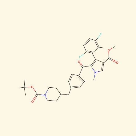 COC(=O)c1cn(C)c(C(=O)c2ccc(CC3CCN(C(=O)OC(C)(C)C)CC3)cc2)c1-c1c(F)ccc(F)c1C